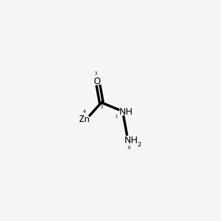 NN[C](=O)[Zn]